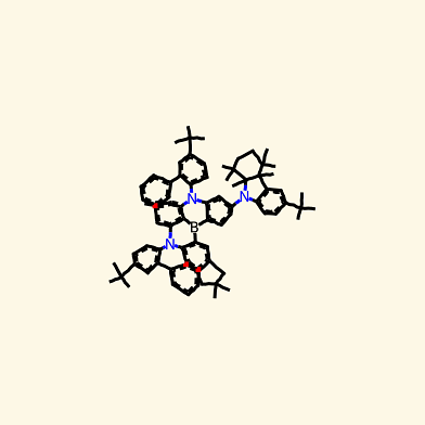 Cc1cc2c3c(c1)N(c1ccc(C(C)(C)C)cc1-c1ccccc1)c1cc4c(cc1B3c1ccc(N3c5ccc(C(C)(C)C)cc5C5(C)C(C)(C)CCC(C)(C)C35C)cc1N2c1ccc(C(C)(C)C)cc1-c1ccccc1)CC(C)(C)C4